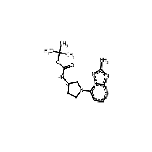 CC(C)(C)OC(=O)N[C@@H]1CCN(c2cccc3nc(N)nn23)C1